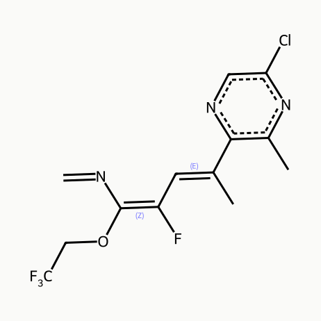 C=N/C(OCC(F)(F)F)=C(F)\C=C(/C)c1ncc(Cl)nc1C